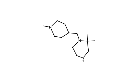 CN1CCC(CN2CCNCC2(C)C)CC1